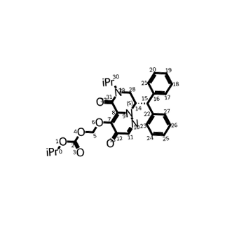 CC(C)OC(=O)OCOc1c2n(ncc1=O)[C@@H](C(c1ccccc1)c1ccccc1)CN(C(C)C)C2=O